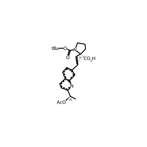 CC(=O)O[C@H](C)c1ccc2ccc(/C=C/[C@]3(C(=O)O)CCCN3C(=O)OC(C)(C)C)cc2n1